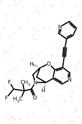 CC(C)(C(=O)N1C[C@@H]2C[C@H]1c1cncc(C#Cc3cccnc3)c1O2)C(F)F